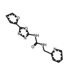 O=C(NCc1ccccn1)Nc1nnc(-c2ccco2)o1